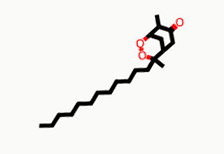 CCCCCCCCCCCCC1(C)OOC2CC1CC(=O)C2C